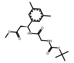 COC(=O)C[C@H](NC(=O)CNC(=O)OC(C)(C)C)c1cc(C)cc(I)c1